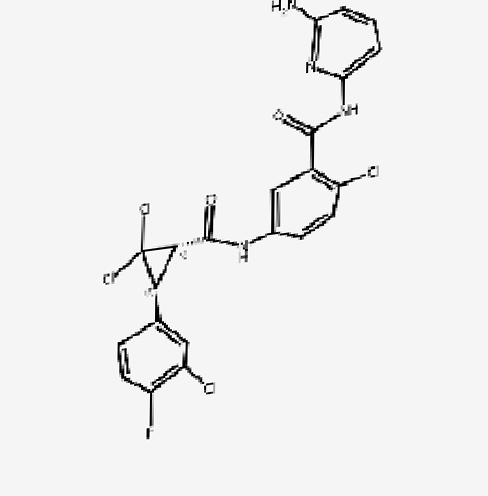 Nc1cccc(NC(=O)c2cc(NC(=O)[C@@H]3[C@@H](c4ccc(F)c(Cl)c4)C3(Cl)Cl)ccc2Cl)n1